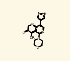 O=C1CN=c2c(-c3cn[nH]c3)cnc(N3CCOCC3)c2=C1C(F)(F)F